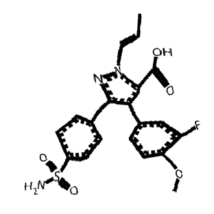 CC=Cn1nc(-c2ccc(S(N)(=O)=O)cc2)c(-c2ccc(OC)c(F)c2)c1C(=O)O